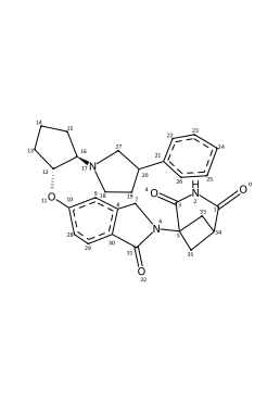 O=C1NC(=O)C2(N3Cc4cc(O[C@@H]5CCC[C@H]5N5CCC(c6ccccc6)C5)ccc4C3=O)CC1C2